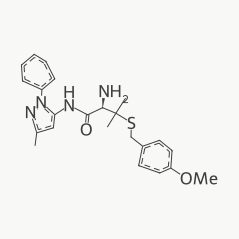 COc1ccc(CSC(C)(C)[C@H](N)C(=O)Nc2cc(C)nn2-c2ccccc2)cc1